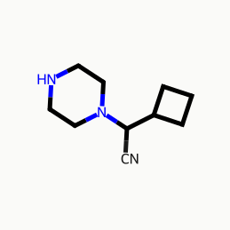 N#CC(C1CCC1)N1CCNCC1